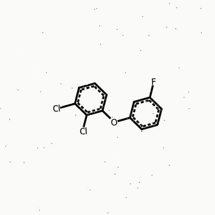 Fc1cc[c]c(Oc2cccc(Cl)c2Cl)c1